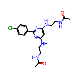 CC(=O)NCCNc1cc(NCCNC(C)=O)nc(-c2ccc(Cl)cc2)n1